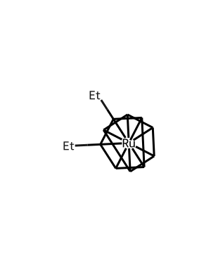 CC[C]12[CH]3[CH]4[CH]5[C]1(CC)[Ru]43521678[CH]2[CH]1[CH]6[CH]7[CH]28